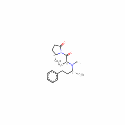 CCOC(=O)[C@H](CCc1ccccc1)N(C)[C@@H](C)C(=O)N1C(=O)CC[C@H]1C(=O)O